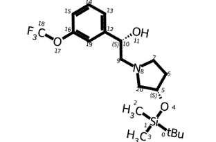 CC(C)(C)[Si](C)(C)O[C@H]1CCN(C[C@@H](O)c2cccc(OC(F)(F)F)c2)C1